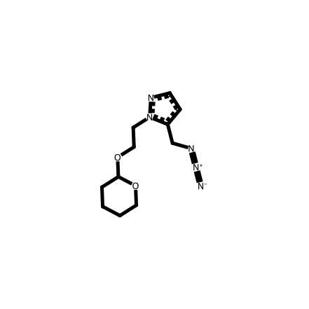 [N-]=[N+]=NCc1ccnn1CCOC1CCCCO1